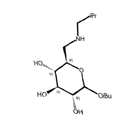 CC(C)CNC[C@H]1OC(OCC(C)C)[C@H](O)[C@@H](O)[C@@H]1O